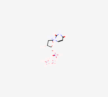 N[C@]1(n2ccc(=O)[nH]c2=O)C[C@H](O)[C@@H](COP(=O)(O)OP(=O)(O)OP(=O)(O)O)O1